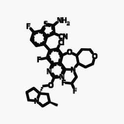 C[C@H]1CN2CCC[C@@]2(COc2nc3c4c(c(Cl)c(-c5ccc(F)c6sc(N)c(C#N)c56)c(F)c4n2)OC2CCOCCC2N3CC(F)F)C1